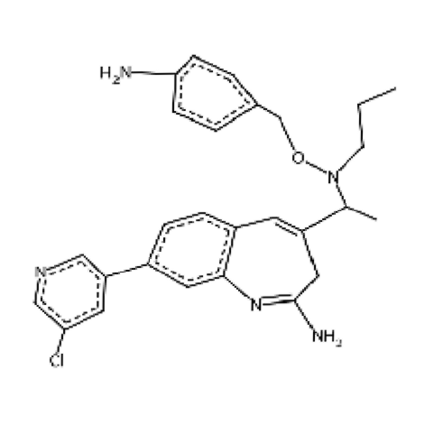 CCCN(OCc1ccc(N)cc1)C(C)C1=Cc2ccc(-c3cncc(Cl)c3)cc2N=C(N)C1